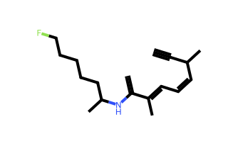 C#CC(C)/C=C\C=C(/C)C(=C)NC(C)CCCCCF